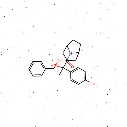 Bc1ccc(C(C)(O)C2CC3CCC(C2)N3C(=O)OCc2ccccc2)cc1